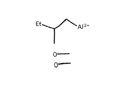 CCC(C)[CH2][Al+2].C[O-].C[O-]